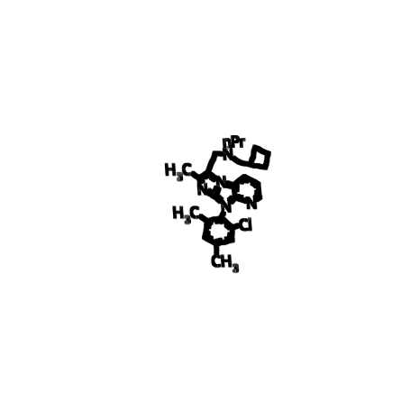 CCCN(Cc1c(C)nc2n(-c3c(C)cc(C)cc3Cl)c3ncccc3n12)CC1CCC1